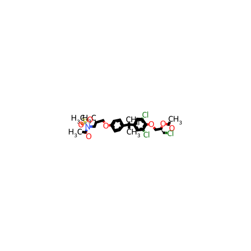 CC(=O)O[C@H](CCl)COc1c(Cl)cc(C(C)(C)c2ccc(OC[C@@H](C)CN(C(C)=O)S(C)(=O)=O)cc2)cc1Cl